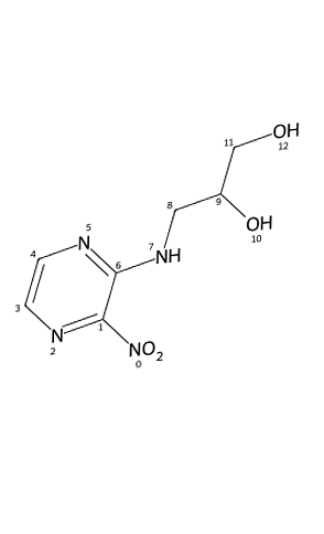 O=[N+]([O-])c1nccnc1NCC(O)CO